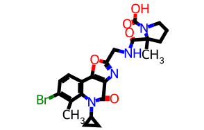 Cc1c(Br)ccc2c3oc(CNC(=O)C4(C)CCCN4C(=O)O)nc3c(=O)n(C3CC3)c12